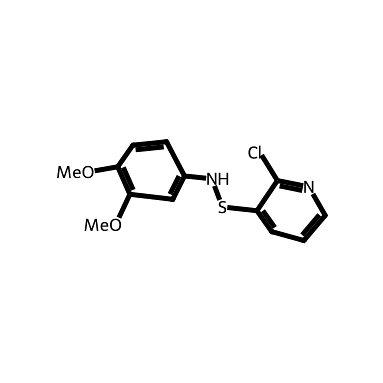 COc1ccc(NSc2cccnc2Cl)cc1OC